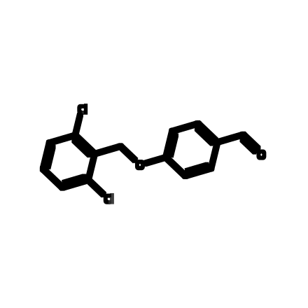 O=Cc1ccc(OCc2c(Cl)cccc2Cl)cc1